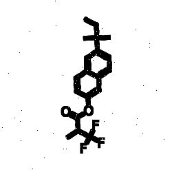 CCC(C)(C)c1ccc2cc(OC(=O)C(C)C(F)(F)F)ccc2c1